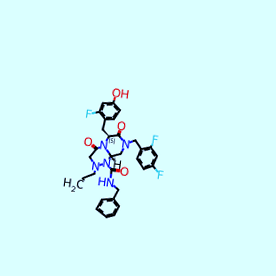 C=CCN1CC(=O)N2[C@@H](Cc3ccc(O)cc3F)C(=O)N(Cc3ccc(F)cc3F)C[C@@H]2N1C(=O)NCc1ccccc1